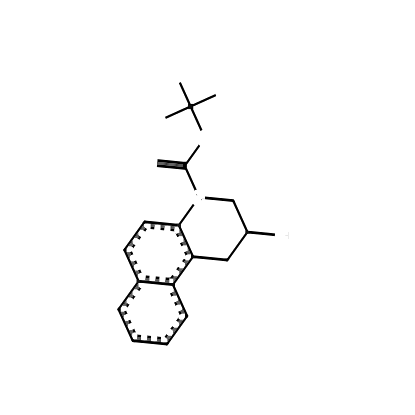 CC(C)(C)OC(=O)N1CC(O)Cc2c1ccc1ccccc21